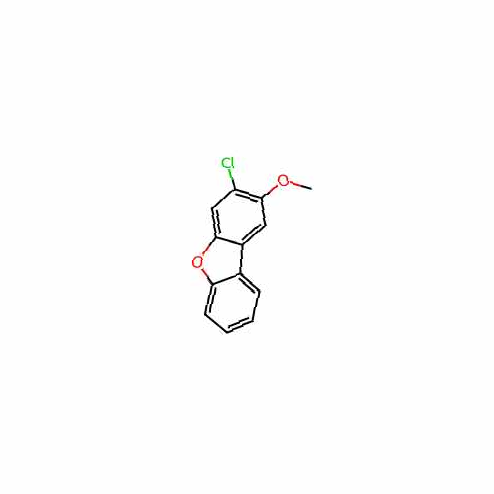 COc1cc2c(cc1Cl)oc1ccccc12